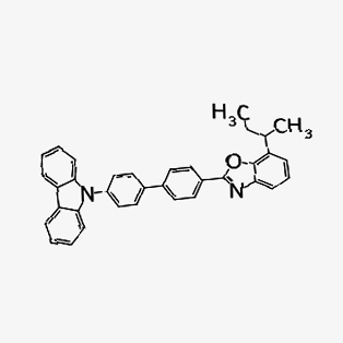 CCC(C)c1cccc2nc(-c3ccc(-c4ccc(-n5c6ccccc6c6ccccc65)cc4)cc3)oc12